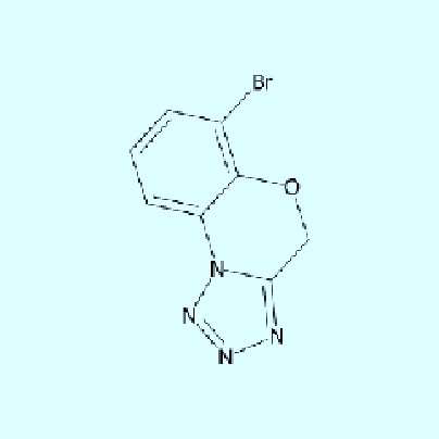 Brc1cccc2c1OCc1nnnn1-2